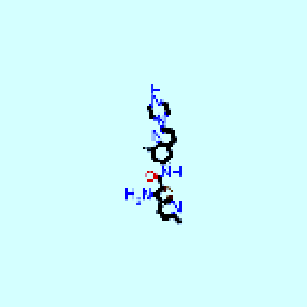 Cc1ccc2c(N)c(C(=O)N[C@H]3Cc4ccc(N5CCNCC5)nc4[C@@H](C)C3)sc2n1